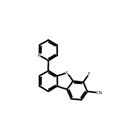 N#Cc1ccc2c(sc3c(-c4ccccn4)cccc32)c1F